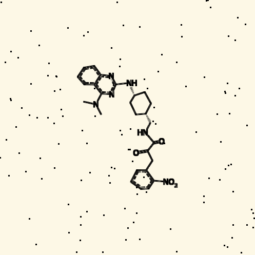 CN(C)c1nc(N[C@H]2CC[C@@H](CNC(=O)C(=O)Cc3ccccc3[N+](=O)[O-])CC2)nc2ccccc12